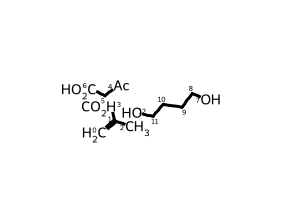 C=C(C)C(=O)O.CC(=O)CC(=O)O.OCCCCO